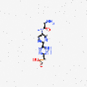 NCC(=O)Nc1cnc(C2=NN=C(CP(O)O)NN2)nc1